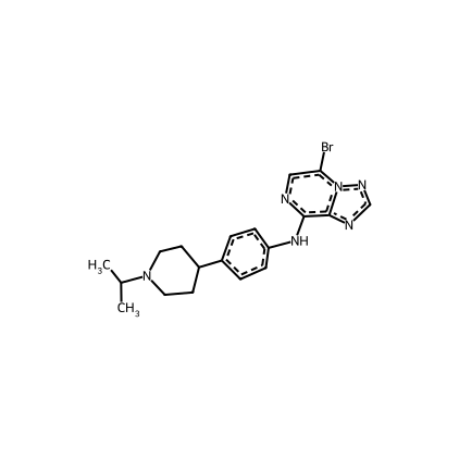 CC(C)N1CCC(c2ccc(Nc3ncc(Br)n4ncnc34)cc2)CC1